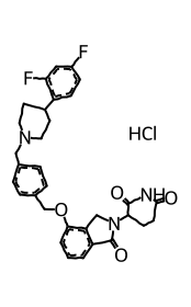 Cl.O=C1CCC(N2Cc3c(OCc4ccc(CN5CCC(c6ccc(F)cc6F)CC5)cc4)cccc3C2=O)C(=O)N1